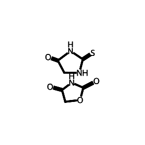 O=C1CNC(=S)N1.O=C1COC(=O)N1